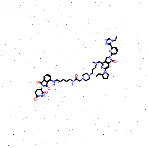 CCC1CCCN1c1cc2c(c(CN(C)CCCN3CCN(CC(=O)NCCCCCNc4cccc5c4C(=O)N(C4CCC(=O)NC4=O)C5=O)CC3)n1)CN(c1cccc(-c3nncn3CC)n1)C2=O